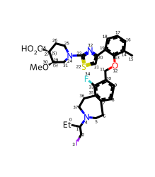 CCC(CI)N1CCc2ccc(COc3c(C)cccc3-c3csc(N4CC[C@H](C(=O)O)[C@H](OC)C4)n3)c(F)c2CC1